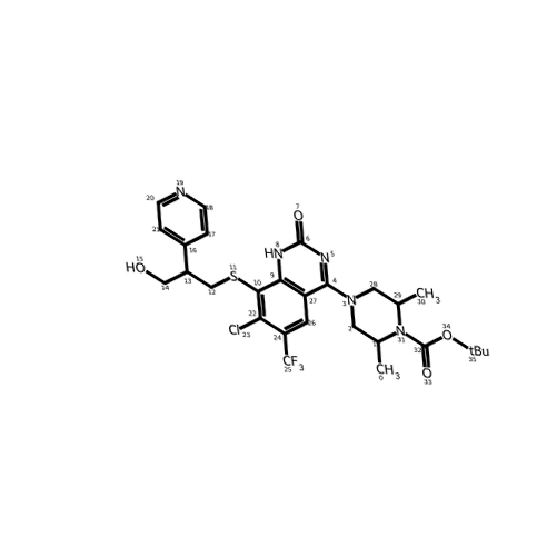 CC1CN(c2nc(=O)[nH]c3c(SCC(CO)c4ccncc4)c(Cl)c(C(F)(F)F)cc23)CC(C)N1C(=O)OC(C)(C)C